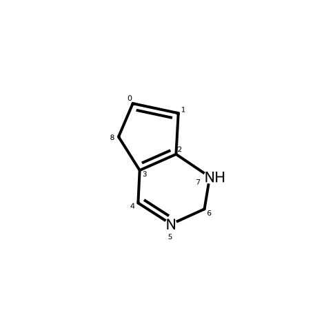 C1=CC2=C(C=NCN2)C1